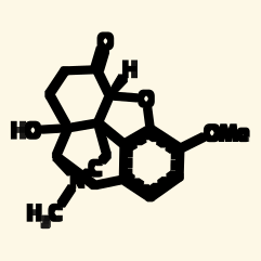 COc1ccc2c3c1O[C@H]1C(=O)CCC4(O)C(C2)N(C)CCC314